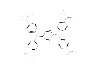 CCCCN(CCCC)c1ccc(N(c2ccc(N(CCCC)CCCC)cc2)C2C=CC(N(c3ccc(N(CCCC)CCCC)cc3)c3ccc(N(CCCC)CCCC)cc3)C=C2)cc1